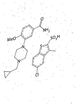 COc1ccc(C(N)=O)cc1N1CCN(CC2CC2)CC1.Cc1c(S(=O)(=O)O)sc2ccc(Cl)cc12